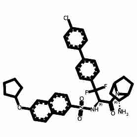 N[C@@H]1CC2CCC1N2C(=O)[C@@H](NS(=O)(=O)c1ccc2cc(OC3CCCC3)ccc2c1)C(F)(F)c1ccc(-c2ccc(Cl)cc2)cc1